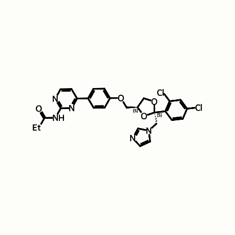 CCC(=O)Nc1nccc(-c2ccc(OC[C@H]3CO[C@@](Cn4ccnc4)(c4ccc(Cl)cc4Cl)O3)cc2)n1